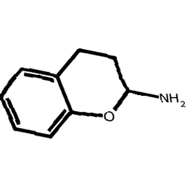 NC1CCc2ccccc2O1